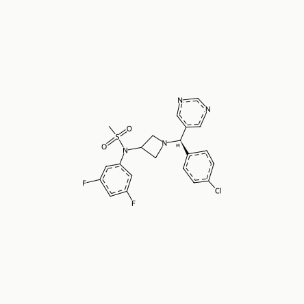 CS(=O)(=O)N(c1cc(F)cc(F)c1)C1CN([C@H](c2ccc(Cl)cc2)c2cncnc2)C1